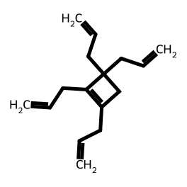 C=CCC1=C(CC=C)C(CC=C)(CC=C)C1